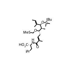 C/C=C(\C)[C@@H](O[Si](C)(C)C(C)(C)C)[C@@H](C)[C@H](C/C=C(\C)C(=O)N[C@H](CC(C)C)C(=O)O)OCSC